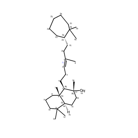 C/C(=C\CC[C@@H]1[C@@]2(C)CCCC(C)(C)[C@@H]2CC[C@@]1(C)O)CC[C@@H]1CCCCCC1(C)C